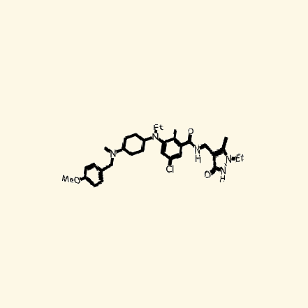 CCN(c1cc(Cl)cc(C(=O)NCc2c(C)n(CC)[nH]c2=O)c1C)C1CCC(N(C)Cc2ccc(OC)cc2)CC1